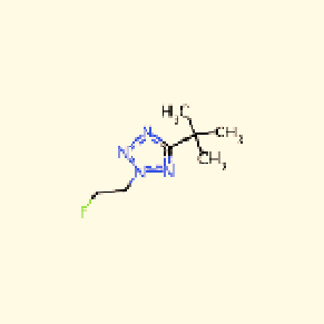 CC(C)(C)c1nnn(CCF)n1